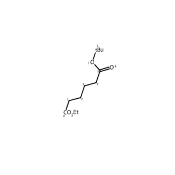 CCOC(=O)CCCCC(=O)OC(C)(C)C